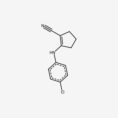 N#CC1=C(Nc2ccc(Cl)cc2)CCC1